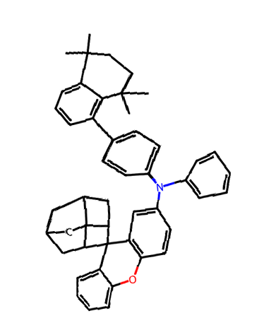 CC1(C)CCC(C)(C)c2c(-c3ccc(N(c4ccccc4)c4ccc5c(c4)C4(c6ccccc6O5)C5CC6CC7CC4C75C6)cc3)cccc21